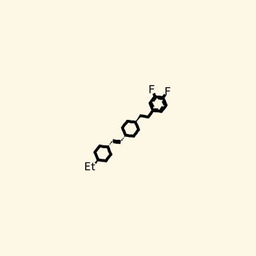 CC[C@H]1CC[C@H](C=C[C@H]2CC[C@H](CCc3ccc(F)c(F)c3)CC2)CC1